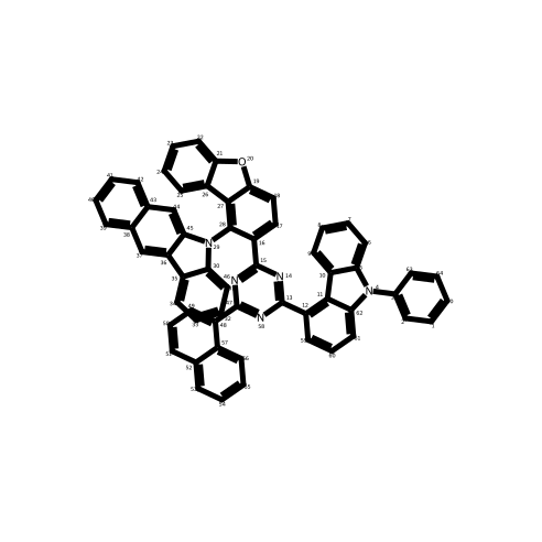 c1ccc(-n2c3ccccc3c3c(-c4nc(-c5ccc6oc7ccccc7c6c5-n5c6ccccc6c6cc7ccccc7cc65)nc(-c5cccc6ccccc56)n4)cccc32)cc1